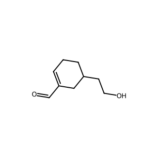 O=CC1=CCCC(CCO)C1